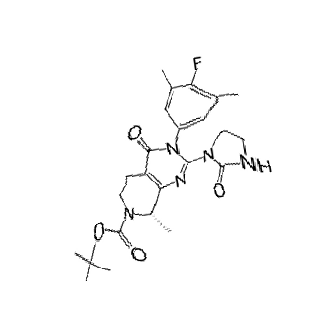 Cc1cc(-n2c(N3CCNC3=O)nc3c(c2=O)CCN(C(=O)OC(C)(C)C)[C@H]3C)cc(C)c1F